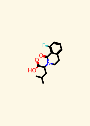 CC(C)CC(C(=O)O)N1CCc2cccc(F)c2C1=O